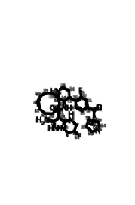 NC1NN2CC(F)CNC2C1C(=O)NC1C(c2ccc(C(=O)N3CCN4CCC3CC4)cc2F)CCNC12CCCCCCCCC2